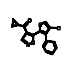 O=C(c1cnoc1-c1scc(Cl)c1-c1ccccc1)C1CC1